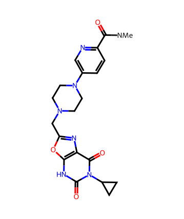 CNC(=O)c1ccc(N2CCN(Cc3nc4c(=O)n(C5CC5)c(=O)[nH]c4o3)CC2)cn1